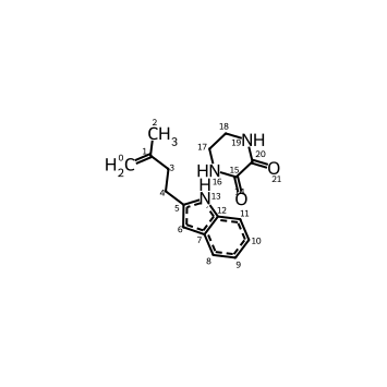 C=C(C)CCc1cc2ccccc2[nH]1.O=C1NCCNC1=O